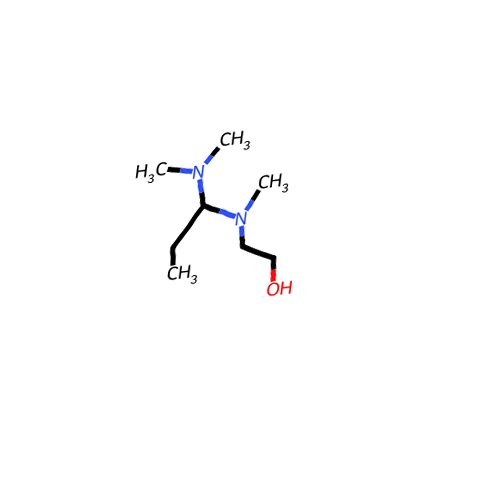 CCC(N(C)C)N(C)CCO